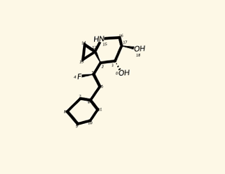 O[C@@H]1[C@@H]([C@H](F)CC2CCCCC2)C2(CC2)NC[C@H]1O